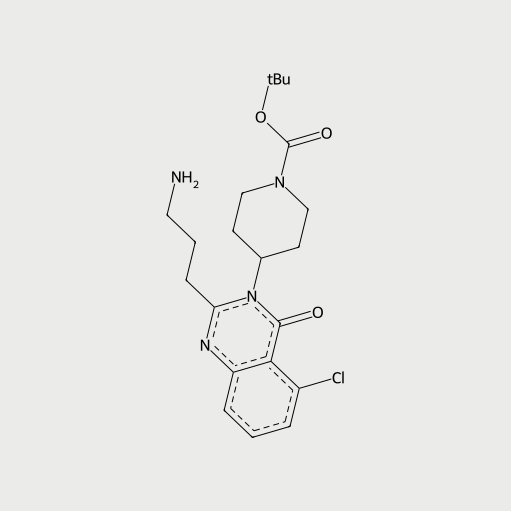 CC(C)(C)OC(=O)N1CCC(n2c(CCCN)nc3cccc(Cl)c3c2=O)CC1